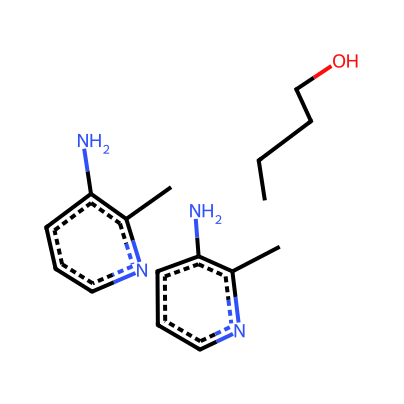 CCCCO.Cc1ncccc1N.Cc1ncccc1N